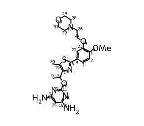 COc1ccc(-c2nc(C(C)Oc3nc(N)cc(N)n3)c(C)s2)cc1OCCN1CCOCC1